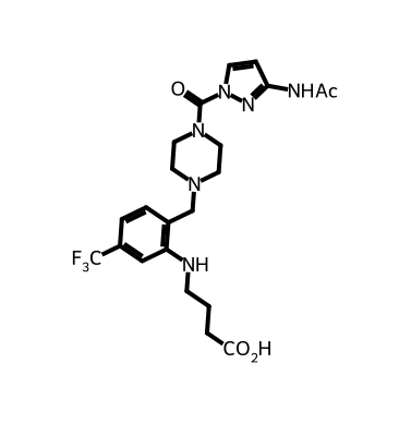 CC(=O)Nc1ccn(C(=O)N2CCN(Cc3ccc(C(F)(F)F)cc3NCCCC(=O)O)CC2)n1